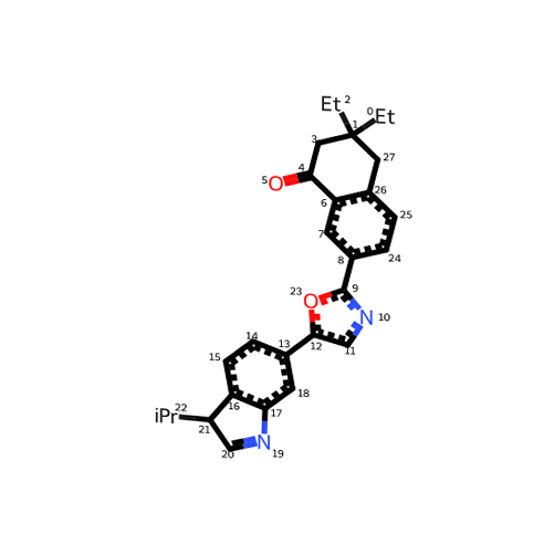 CCC1(CC)CC(=O)c2cc(-c3ncc(-c4ccc5c(c4)N=CC5C(C)C)o3)ccc2C1